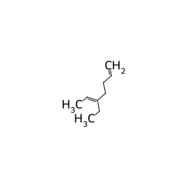 C=CCCC(=CC)CC